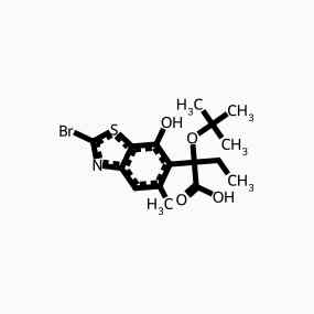 CCC(OC(C)(C)C)(C(=O)O)c1c(C)cc2nc(Br)sc2c1O